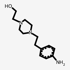 Nc1ccc(CCN2CCN(CCO)CC2)cc1